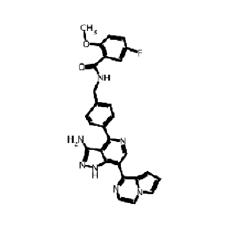 COc1ccc(F)cc1C(=O)NCc1ccc(-c2ncc(-c3nccn4cccc34)c3[nH]nc(N)c23)cc1